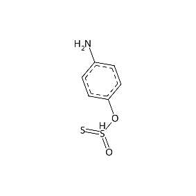 Nc1ccc(O[SH](=O)=S)cc1